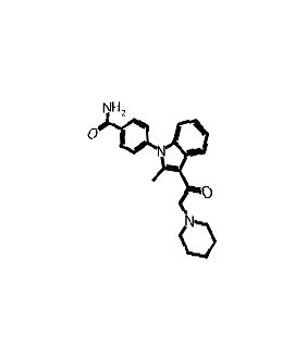 Cc1c(C(=O)CN2CCCCC2)c2ccccc2n1-c1ccc(C(N)=O)cc1